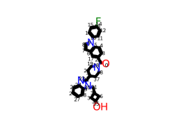 O=C(c1ccc2c(ccn2-c2ccc(F)cc2)c1)N1CCC(c2nc3ccccc3n2CC2CC(O)C2)CC1